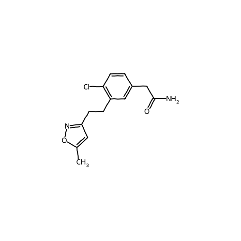 Cc1cc(CCc2cc(CC(N)=O)ccc2Cl)no1